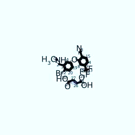 CNCc1cc(Oc2cc(C(F)(F)F)ccc2C#N)ccc1Br.O=C(O)/C=C/C(=O)O